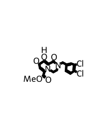 COC(=O)c1cc(=O)c(O)c2n1CCN(Cc1ccc(Cl)c(Cl)c1)C2=O